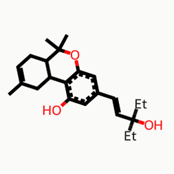 CCC(O)(/C=C/c1cc(O)c2c(c1)OC(C)(C)C1CC=C(C)CC21)CC